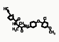 C#Cc1ccc(C(=O)NC(C)(C)C(=O)NCc2ccc(Oc3ccc(OC)cc3Cl)cc2)s1